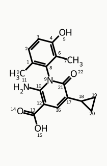 Cc1ccc(O)c(C)c1-n1c(N)c(C(=O)O)cc(C2CC2)c1=O